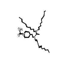 CCCCCCCCCN(CCCCCCCCC)C(C)N(CCCCCCCCC)CCC1CCN(C(=O)O)CC1